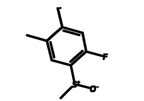 [CH2]c1cc(F)c([S+](C)[O-])cc1C